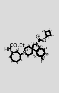 CCOC(=O)NC1CCCCC(N2CCC3(CC2)CN(C(=O)OC2CCC2)c2ccc(F)cc23)C1